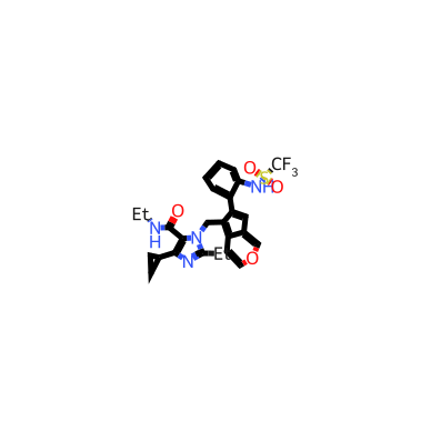 CCNC(=O)c1c(C2CC2)nc(CC)n1Cc1c2ccocc-2cc1-c1ccccc1NS(=O)(=O)C(F)(F)F